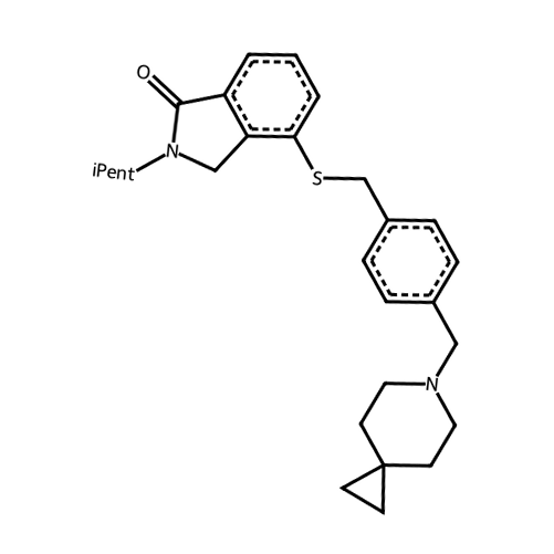 CCCC(C)N1Cc2c(SCc3ccc(CN4CCC5(CC4)CC5)cc3)cccc2C1=O